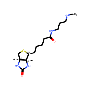 CNCCCNC(=O)CCCC[C@@H]1SC[C@@H]2NC(=O)N[C@@H]21